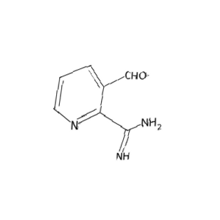 N=C(N)c1ncccc1[C]=O